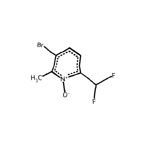 Cc1c(Br)ccc(C(F)F)[n+]1[O-]